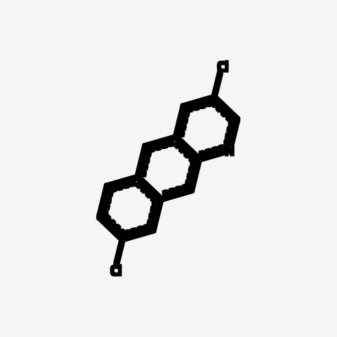 Clc1ccc2cc3cc(Cl)cnc3cc2c1